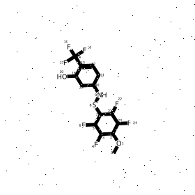 COC1C(F)C(F)C(SNC2CC=C(C(F)(F)F)C(O)C2)C(F)C1F